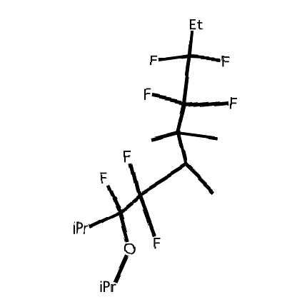 CCC(F)(F)C(F)(F)C(C)(C)C(C)C(F)(F)C(F)(OC(C)C)C(C)C